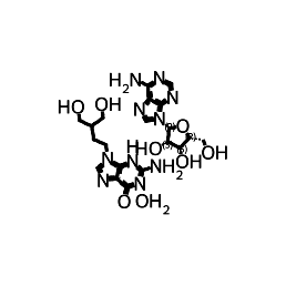 Nc1nc(=O)c2ncn(CCC(CO)CO)c2[nH]1.Nc1ncnc2c1ncn2[C@@H]1O[C@H](CO)[C@@H](O)[C@@H]1O.O